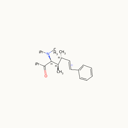 CC(C)C(=O)[C@H]([C@H](C)[C@H](C)/C=C/c1ccccc1)N(C)C(C)C